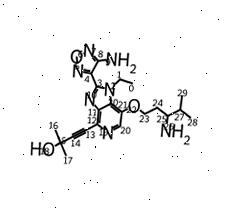 CCn1c(-c2nonc2N)nc2c(C#CC(C)(C)O)ncc(OCCC(N)C(C)C)c21